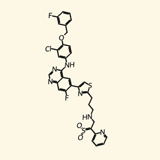 O=S(=O)=C(CNCCCc1nc(-c2cc3c(Nc4ccc(OCc5cccc(F)c5)c(Cl)c4)ncnc3cc2F)cs1)c1ccccn1